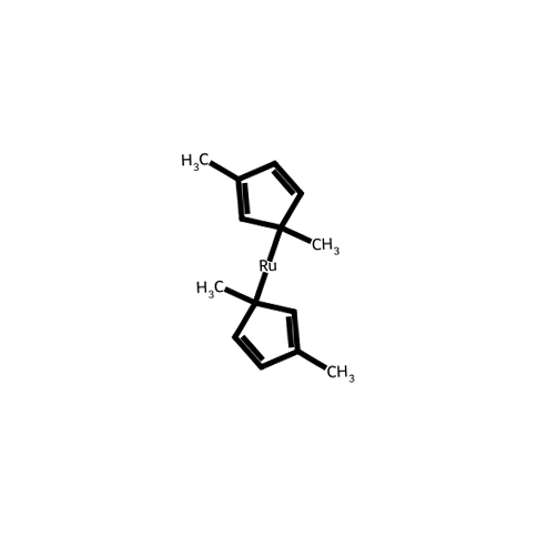 CC1=C[C](C)([Ru][C]2(C)C=CC(C)=C2)C=C1